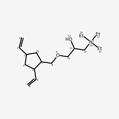 C=CC1CC(C=C)C(COCC(O)C[N+](CC)(CC)CC)C1